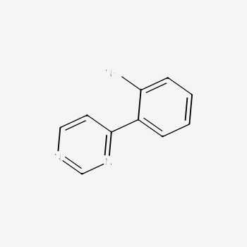 N#Cc1ccccc1-c1ccn[c]n1